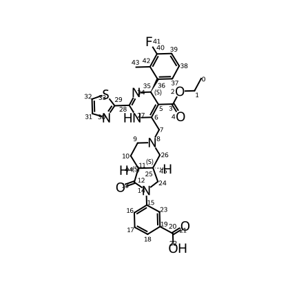 CCOC(=O)C1=C(CN2CC[C@@H]3C(=O)N(c4cccc(C(=O)O)c4)C[C@@H]3C2)NC(c2nccs2)=N[C@H]1c1cccc(F)c1C